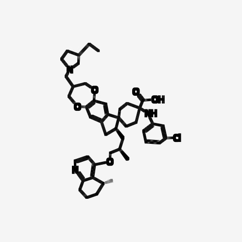 CCC1CCN(CC2COc3cc4c(cc3OC2)C2(CCC(Nc3cccc(Cl)c3)(C(=O)O)CC2)[C@@H](C[C@@H](C)COc2ccnc3c2[C@H](C)CCC3)C4)C1